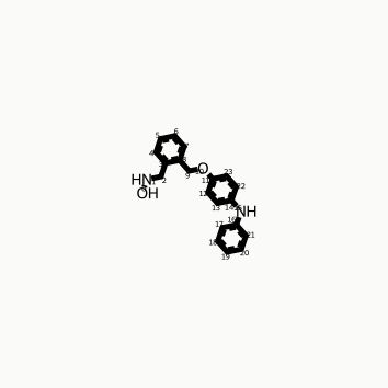 ONCc1ccccc1COc1ccc(Nc2ccccc2)cc1